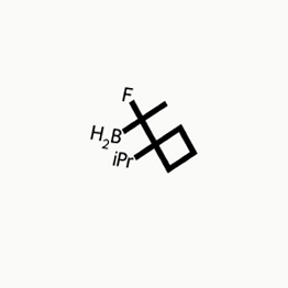 BC(C)(F)C1(C(C)C)CCC1